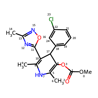 COC(=O)OC1=C(C)NC(C)=C(c2nc(C)no2)C1c1cccc(Cl)c1